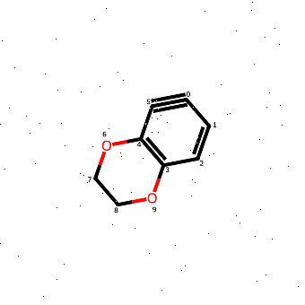 c1ccc2c(c#1)OCCO2